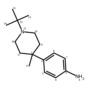 CC1(c2ccc(N)cc2)CCN(C(C)(C)C)CC1